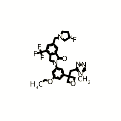 CCOc1cc(N2Cc3c(cc(CN4CC[C@@H](F)C4)cc3C(F)(F)F)C2=O)cc(C2(Cc3nncn3C)COC2)c1